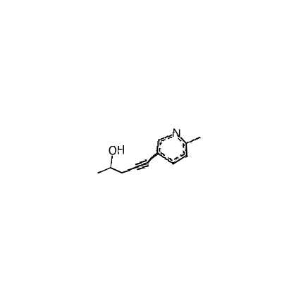 Cc1ccc(C#CCC(C)O)cn1